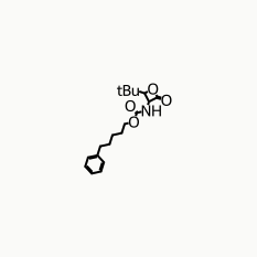 CC(C)(C)C1OC(=O)C1NC(=O)OCCCCCc1ccccc1